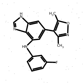 Cc1noc(C)c1-c1cc(Nc2cccc(F)c2)c2nc[nH]c2c1